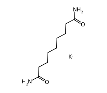 NC(=O)CCCCCCCC(N)=O.[K]